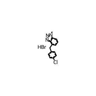 Br.Cn1nnc2c(Cc3ccc(Cl)cc3)cccc21